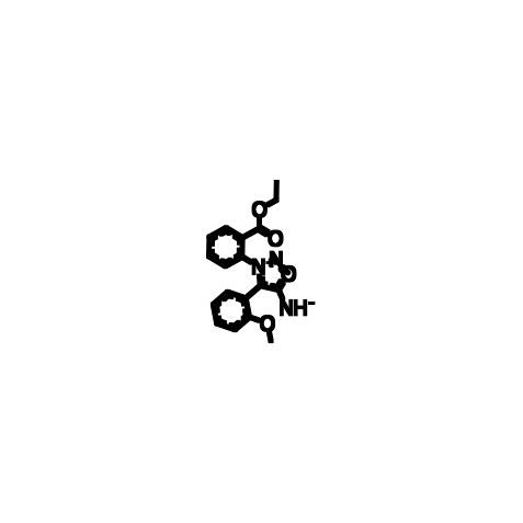 CCOC(=O)c1ccccc1-[n+]1noc([NH-])c1-c1ccccc1OC